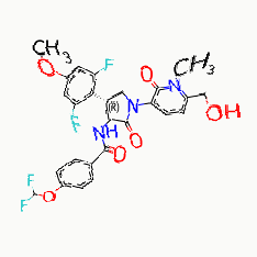 COc1cc(F)c([C@@H]2CN(c3ccc(CO)n(C)c3=O)C(=O)C2NC(=O)c2ccc(OC(F)F)cc2)c(F)c1